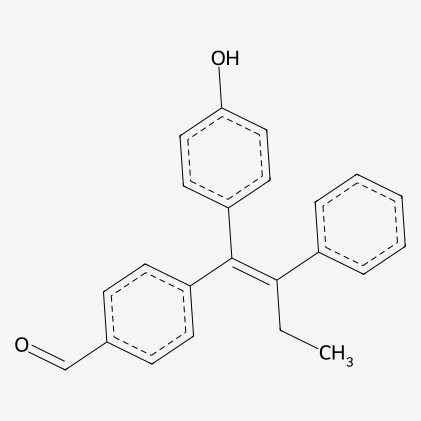 CCC(=C(c1ccc(O)cc1)c1ccc(C=O)cc1)c1ccccc1